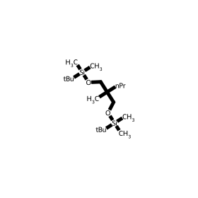 CCCC(C)(CO[Si](C)(C)C(C)(C)C)CO[Si](C)(C)C(C)(C)C